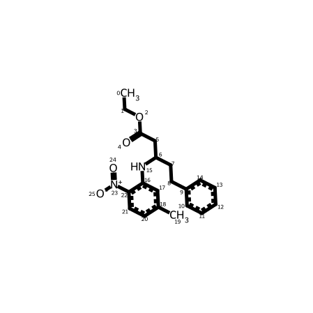 CCOC(=O)CC(CCc1ccccc1)Nc1cc(C)ccc1[N+](=O)[O-]